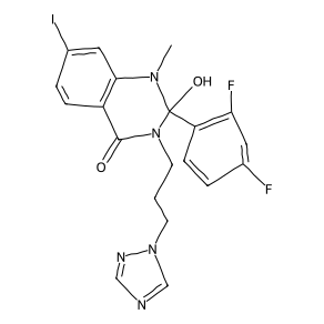 CN1c2cc(I)ccc2C(=O)N(CCCn2cncn2)C1(O)c1ccc(F)cc1F